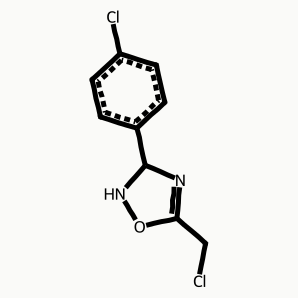 ClCC1=NC(c2ccc(Cl)cc2)NO1